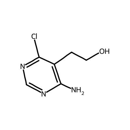 Nc1ncnc(Cl)c1CCO